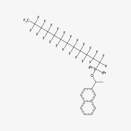 CC(O[Si](C(C)C)(C(C)C)C(F)(F)C(F)(F)C(F)(F)C(F)(F)C(F)(F)C(F)(F)C(F)(F)C(F)(F)C(F)(F)C(F)(F)C(F)(F)C(F)(F)F)c1ccc2ccccc2c1